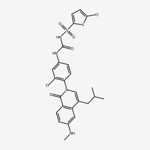 CNc1ccc2c(=O)n(-c3ccc(NC(=O)NS(=O)(=O)c4ccc(Cl)s4)cc3Cl)cc(CC(C)C)c2c1